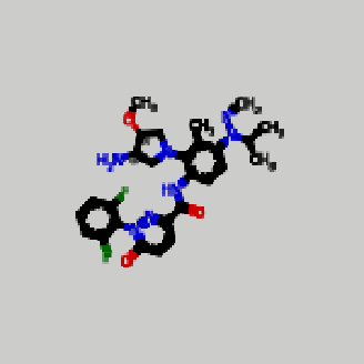 C=NN(c1ccc(NC(=O)c2ccc(=O)n(-c3c(F)cccc3F)n2)c(N2C[C@@H](N)[C@@H](OC)C2)c1C)C(C)C